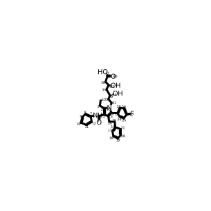 CCc1c(C(=O)Nc2ccccc2)c(CCc2ccccc2)c(-c2ccc(F)cc2)n1CC[C@@H](O)C[C@@H](O)CC(=O)O